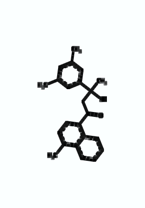 Cc1cc(C)cc(C(C)(S)CC(=O)c2ccc(C)c3ccccc23)c1